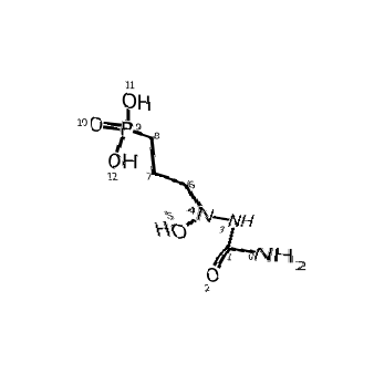 NC(=O)NN(O)CCCP(=O)(O)O